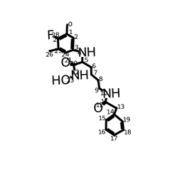 Cc1cc(NC(CCCCNC(=O)Cc2ccccc2)C(=O)NO)cc(C)c1F